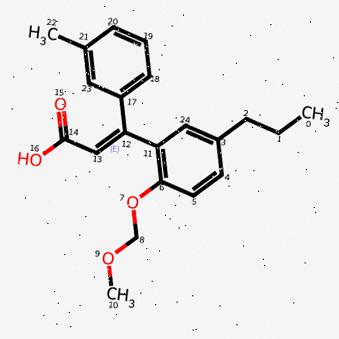 CCCc1ccc(OCOC)c(/C(=C/C(=O)O)c2cccc(C)c2)c1